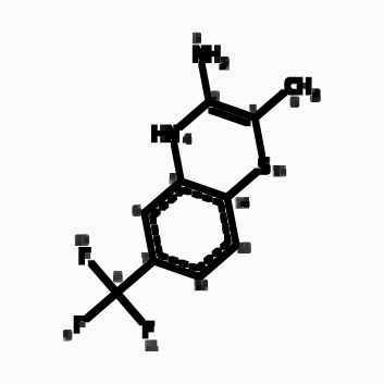 CC1=C(N)Nc2cc(C(F)(F)F)ccc2S1